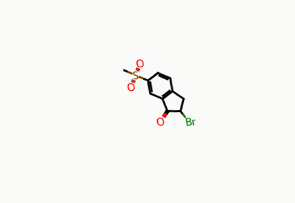 CS(=O)(=O)c1ccc2c(c1)C(=O)C(Br)C2